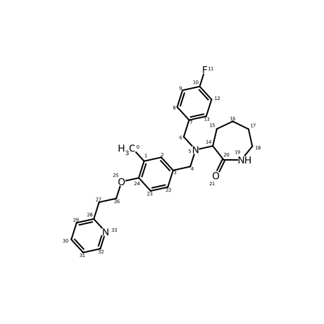 Cc1cc(CN(Cc2ccc(F)cc2)C2CCCCNC2=O)ccc1OCCc1ccccn1